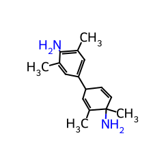 CC1=CC(c2cc(C)c(N)c(C)c2)C=CC1(C)N